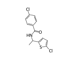 CC(NC(=O)c1ccc(Cl)cc1)c1ccc(Cl)s1